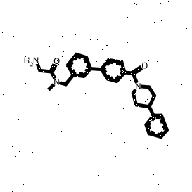 CN(Cc1cccc(-c2ccc(C(=O)N3CCC(c4ccccc4)CC3)cc2)c1)C(=O)CN